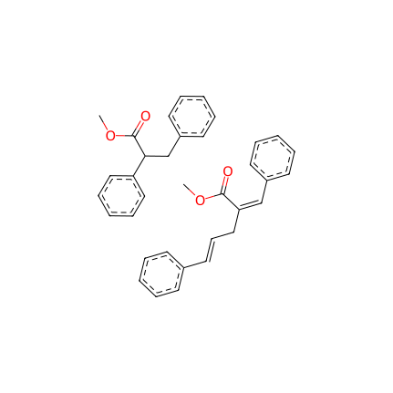 COC(=O)C(=Cc1ccccc1)CC=Cc1ccccc1.COC(=O)C(Cc1ccccc1)c1ccccc1